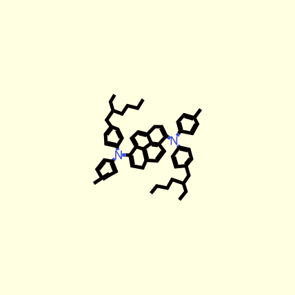 CCCCC(CC)Cc1ccc(N(C2=CCc3ccc4c5c(ccc2c35)CC=C4N(c2ccc(C)cc2)c2ccc(CC(CC)CCCC)cc2)c2ccc(C)cc2)cc1